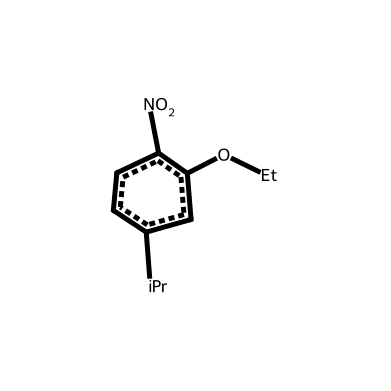 CCOc1cc(C(C)C)ccc1[N+](=O)[O-]